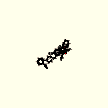 Cc1cc(C)c(C(=O)N2CC3CCC(C2)N3c2cc(F)c(C#N)cc2F)cc1CN1CCN(c2ccccc2C#N)CC1